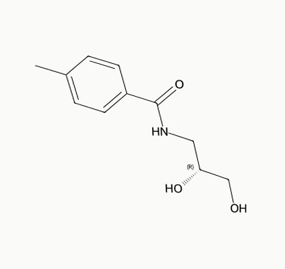 Cc1ccc(C(=O)NC[C@@H](O)CO)cc1